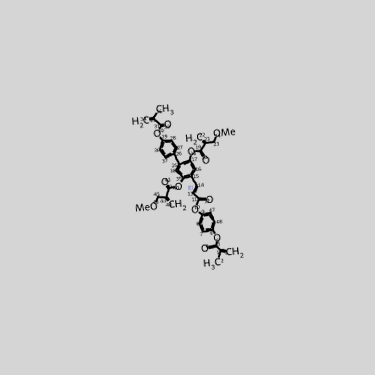 C=C(C)C(=O)Oc1ccc(OC(=O)/C=C/c2cc(OC(=O)C(=C)COC)c(-c3ccc(OC(=O)C(=C)C)cc3)cc2OC(=O)C(=C)COC)cc1